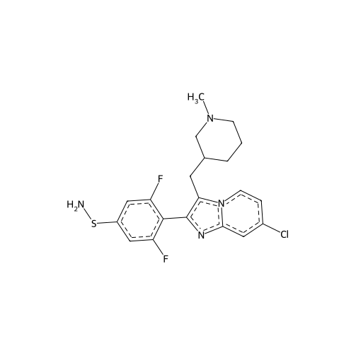 CN1CCCC(Cc2c(-c3c(F)cc(SN)cc3F)nc3cc(Cl)ccn23)C1